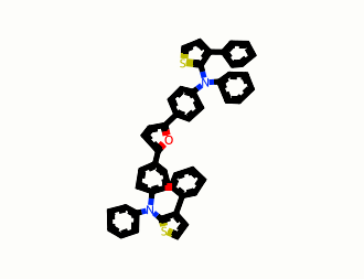 c1ccc(-c2ccsc2N(c2ccccc2)c2ccc(-c3ccc(-c4ccc(N(c5ccccc5)c5sccc5-c5ccccc5)cc4)o3)cc2)cc1